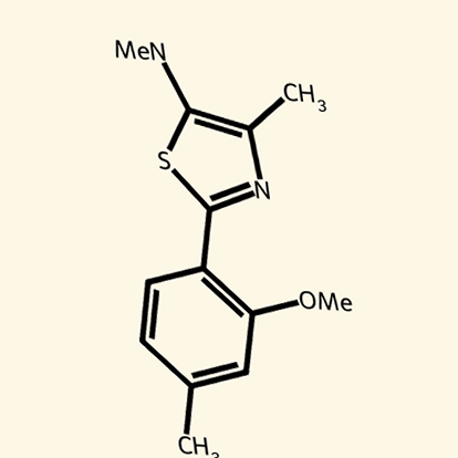 CNc1sc(-c2ccc(C)cc2OC)nc1C